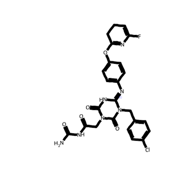 NC(=O)NC(=O)Cn1c(=O)[nH]/c(=N\c2ccc(OC3=NC(F)=CCC3)cc2)n(Cc2ccc(Cl)cc2)c1=O